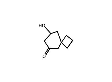 O=C1CC(O)CC2(CCC2)C1